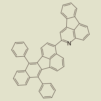 c1ccc(-c2c3c(c(-c4ccccc4)c4ccccc24)-c2ccc(-c4cc5c6c(cccc6n4)-c4ccccc4-5)c4cccc-3c24)cc1